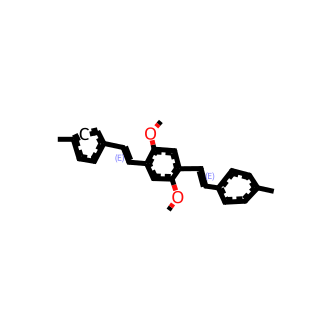 COc1cc(/C=C/c2ccc(C)cc2)c(OC)cc1/C=C/c1ccc(C)cc1